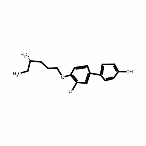 CC[C@H](C)CCCOc1ccc(-c2ccc(O)cc2)cc1Cl